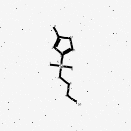 CC1=CC([Si](C)(C)CCCI)=CC1